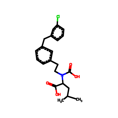 CC(C)CC(C(=O)O)N(CCc1cccc(Cc2cccc(Cl)c2)c1)C(=O)O